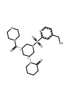 O=C([C@H]1C[C@@H](N2CCCCC2=O)CN(S(=O)(=O)c2cc(CO)ccn2)C1)N1CCOCC1